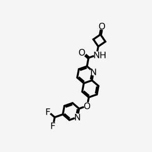 O=C1CC(NC(=O)c2ccc3cc(Oc4ccc(C(F)F)cn4)ccc3n2)C1